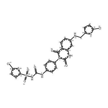 O=C(Nc1ccc(-n2c(=O)[nH]c3cc(NCc4ccc(Cl)s4)ccc3c2=O)cc1)NS(=O)(=O)c1ccc(Cl)s1